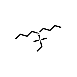 CCCCN(CCCC)[Si](C)(C)CC